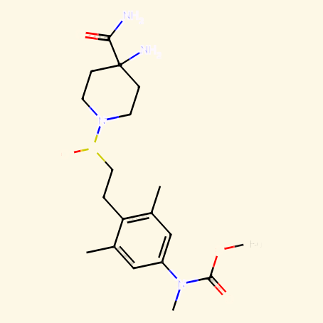 Cc1cc(N(C)C(=O)OC(C)(C)C)cc(C)c1CC[S+]([O-])N1CCC(N)(C(N)=O)CC1